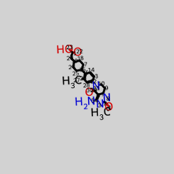 COc1nc(N)c2c(n1)CCN(c1ccc(C3CCC(CC(=O)O)CC3)c(C)c1)C2=O